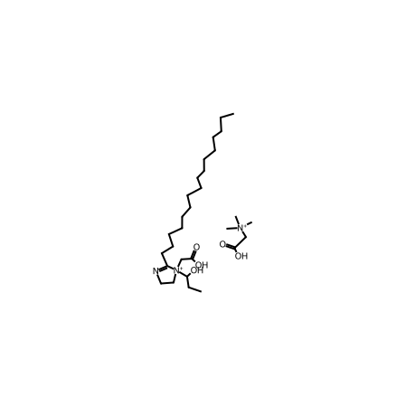 CCCCCCCCCCCCCCCCC1=NCC[N+]1(CC(=O)O)C(O)CC.C[N+](C)(C)CC(=O)O